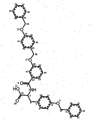 O=C(NC(Cc1ccc(OCc2ccccc2)cc1)C(=O)O)c1cccc(OCc2ccc(OCc3ccccc3)cc2)c1